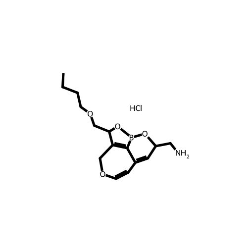 CCCCOCC1OB2OC(CN)C=C3C=COCC1=C23.Cl